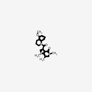 COc1cccc2c1CCCN2C(=O)c1cn(C)c2c(C)cn(C)c(=O)c12